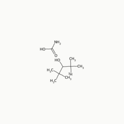 NC(=O)O.[2H]C(C)(C)C(O)C(C)(C)C